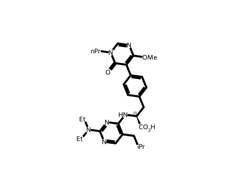 CCCn1cnc(OC)c(-c2ccc(C[C@H](Nc3nc(N(CC)CC)ncc3CC(C)C)C(=O)O)cc2)c1=O